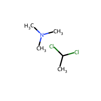 CC(Cl)Cl.CN(C)C